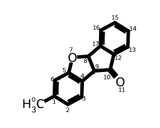 Cc1ccc2c(c1)O[C]1[C]2C(=O)c2ccccc21